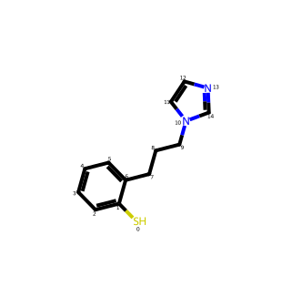 Sc1ccccc1CCCn1ccnc1